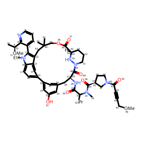 CCn1c(-c2cccnc2[C@H](C)OC)c2c3cc(ccc31)-c1cc(O)cc(c1)C[C@H](NC(=O)C(C(C)C)N(C)C(=O)[C@H]1CCN(C(=O)C#CCOC)C1)C(=O)N1CCC[C@H](N1)C(=O)OCC(C)(C)C2